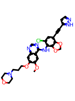 COc1cc2c(Nc3c(Cl)cc(C#Cc4ccn[nH]4)c4c3OCO4)ncnc2cc1OCCCN1CCOCC1